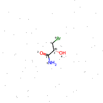 NC(=O)[C@@H](O)CBr